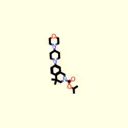 CC(C)OC(=O)N1Cc2cc(N3CCC(N4CCOCC4)CC3)ccc2C(C)(C)C1